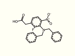 O=C(O)Cc1ccc([N+](=O)[O-])c(N(Cc2ccccc2)Cc2ccccc2)c1F